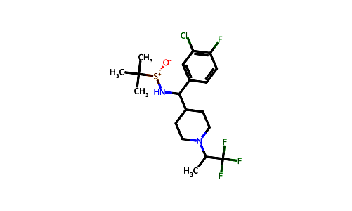 CC(N1CCC(C(N[S@@+]([O-])C(C)(C)C)c2ccc(F)c(Cl)c2)CC1)C(F)(F)F